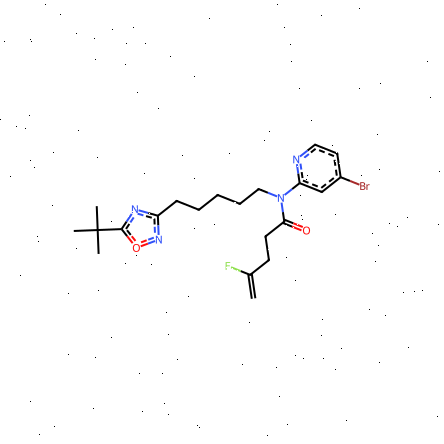 C=C(F)CCC(=O)N(CCCCCc1noc(C(C)(C)C)n1)c1cc(Br)ccn1